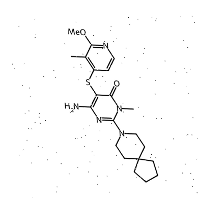 COc1nccc(Sc2c(N)nc(N3CCC4(CCCC4)CC3)n(C)c2=O)c1C